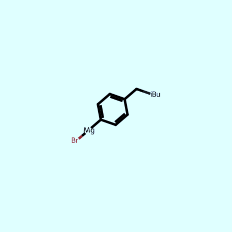 CCC(C)Cc1cc[c]([Mg][Br])cc1